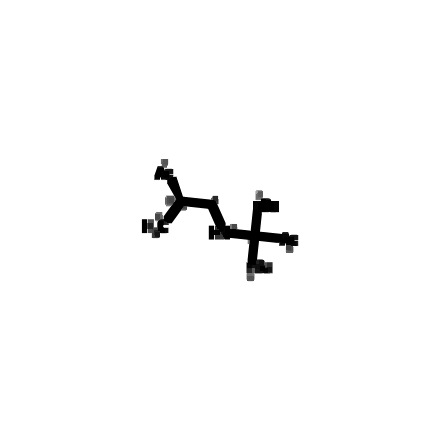 CCCCC(CCCC)(NC[C@@H](C)C(C)=O)C(C)=O